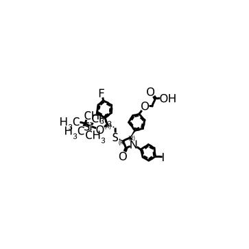 CC(C)(C)[Si](C)(C)O[C@@H](CS[C@H]1C(=O)N(c2ccc(I)cc2)[C@@H]1c1ccc(OCC(=O)O)cc1)c1ccc(F)cc1